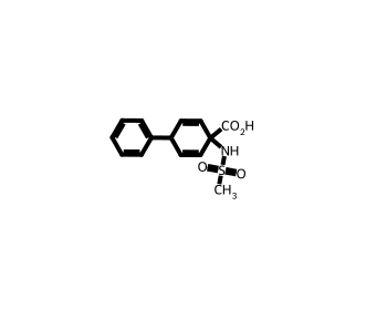 CS(=O)(=O)NC1(C(=O)O)C=CC(c2ccccc2)C=C1